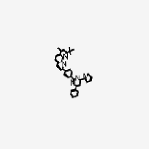 Cc1cc(C(C)(C)C)nc2c1ccc1ccc(-c3ccc(-c4nc(-c5ccccc5)cc(-c5ccccn5)n4)cc3)nc12